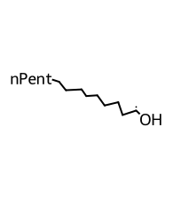 CCCCCCCCCCCCC[CH]O